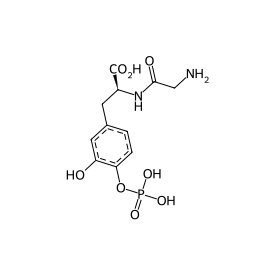 NCC(=O)N[C@@H](Cc1ccc(OP(=O)(O)O)c(O)c1)C(=O)O